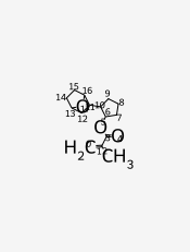 C=C(C)C(=O)OC1CCCC1C1CC2CCC1O2